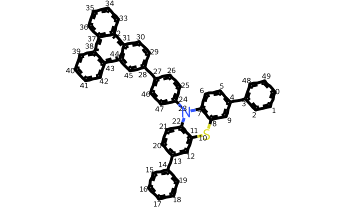 c1ccc(-c2ccc3c(c2)Sc2cc(-c4ccccc4)ccc2N3c2ccc(-c3ccc4c5ccccc5c5ccccc5c4c3)cc2)cc1